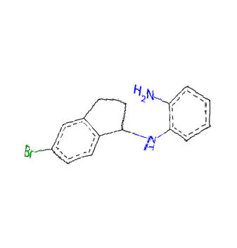 Nc1ccccc1NC1CCc2cc(Br)ccc21